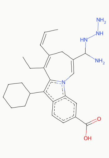 C/C=C\C1=C(CC)c2c(C3CCCCC3)c3ccc(C(=O)O)cc3n2C=C(C(N)NNN)C1